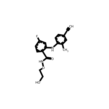 C#Cc1ccc(Nc2cc(F)ccc2C(=O)NOCCO)c(C)c1